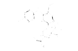 COc1ccc([C@@H]2CN(C(=O)O)C[C@@]2(C)[C@@H](C)O)cc1Oc1ccc(F)cc1